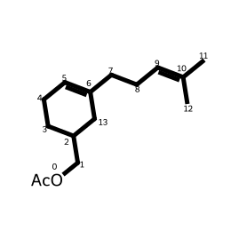 CC(=O)OCC1CCC=C(CCC=C(C)C)C1